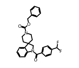 O=C(OCc1ccccc1)N1CCC2(CC1)CN(C(=O)c1ccc(C(F)F)cc1)c1ccccc12